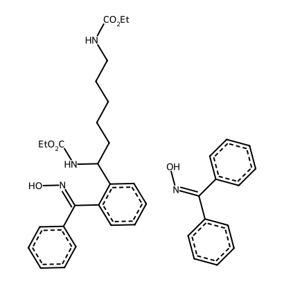 CCOC(=O)NCCCCCC(NC(=O)OCC)c1ccccc1C(=NO)c1ccccc1.ON=C(c1ccccc1)c1ccccc1